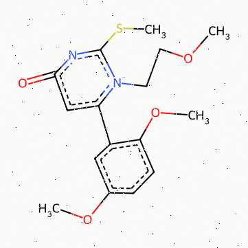 COCCn1c(-c2cc(OC)ccc2OC)cc(=O)nc1SC